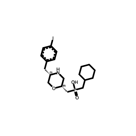 O=P(O)(CC1CCCCC1)C[C@H]1CN[C@@H](Cc2ccc(I)cc2)CO1